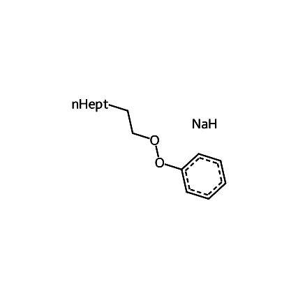 CCCCCCCCCOOc1ccccc1.[NaH]